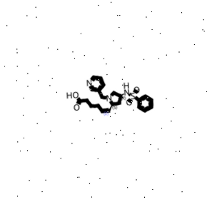 O=C(O)CCC/C=C\[C@@H]1C[C@@H](NS(=O)(=O)c2ccccc2)CN1Cc1cccnc1